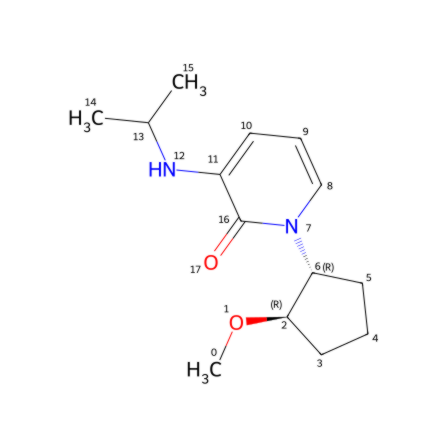 CO[C@@H]1CCC[C@H]1n1cccc(NC(C)C)c1=O